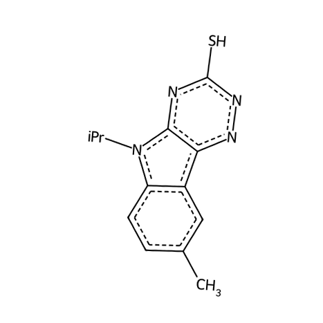 Cc1ccc2c(c1)c1nnc(S)nc1n2C(C)C